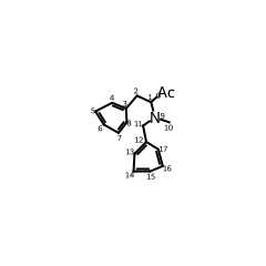 CC(=O)C(Cc1ccccc1)N(C)Cc1ccccc1